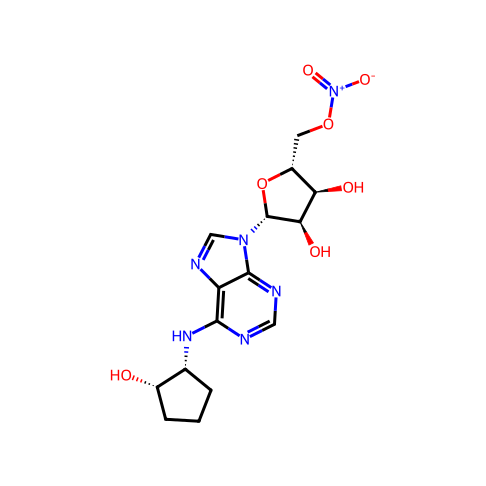 O=[N+]([O-])OC[C@H]1O[C@@H](n2cnc3c(N[C@@H]4CCC[C@@H]4O)ncnc32)[C@H](O)[C@@H]1O